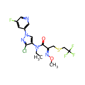 CCN(C(=O)C(CSCC(F)(F)F)=NOC)c1cn(-c2cncc(F)c2)nc1Cl